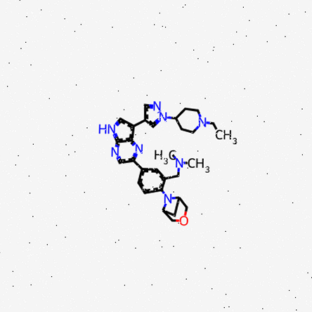 CCN1CCC(n2cc(-c3c[nH]c4ncc(-c5ccc(N6C7COCC6C7)c(CN(C)C)c5)nc34)cn2)CC1